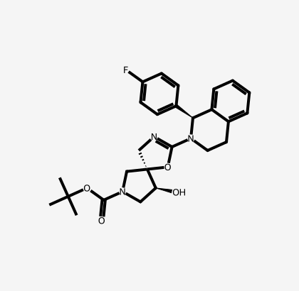 CC(C)(C)OC(=O)N1C[C@H](O)[C@@]2(CN=C(N3CCc4ccccc4[C@@H]3c3ccc(F)cc3)O2)C1